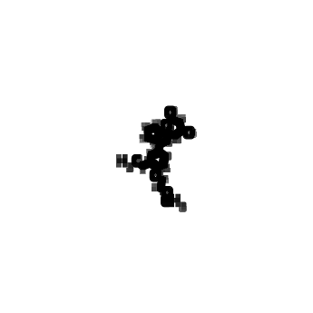 CCc1cc(CCC2(C3CCCC3)CC(=O)CC(=O)O2)ccc1OCCOC